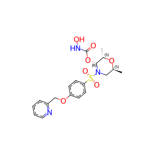 C[C@@H]1O[C@@H](C)CN(S(=O)(=O)c2ccc(OCc3ccccn3)cc2)[C@@H]1OC(=O)NO